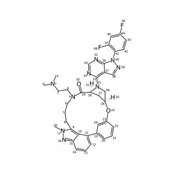 CN(C)CCN1CCCc2c3c(cccc3nn2C)-c2cccc(c2)O[C@H]2C[C@@H](C1=O)N(c1ncnc3c1cnn3-c1ccc(F)cc1F)C2